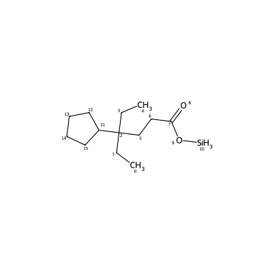 CCC(CC)(CCC(=O)O[SiH3])C1CCCC1